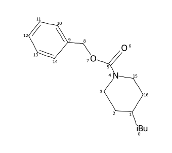 CCC(C)C1CCN(C(=O)OCc2ccccc2)CC1